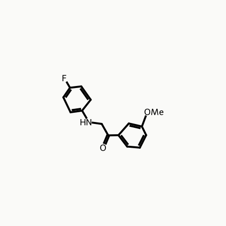 COc1cccc(C(=O)CNc2ccc(F)cc2)c1